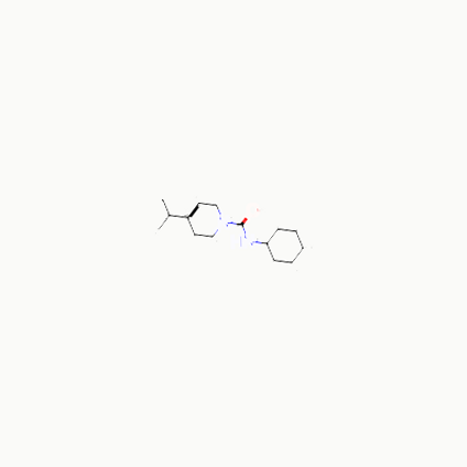 CC(C)C1=CCN(C(=O)NC2CCCCC2)CC1